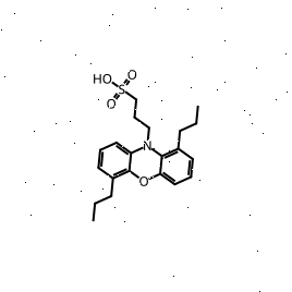 CCCc1cccc2c1Oc1cccc(CCC)c1N2CCCS(=O)(=O)O